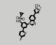 Cn1cc(-c2ccc3c(c2)ncn3-c2cc(NS(=O)(=O)C3CC3)cc(-c3ccc(F)cn3)c2)cn1